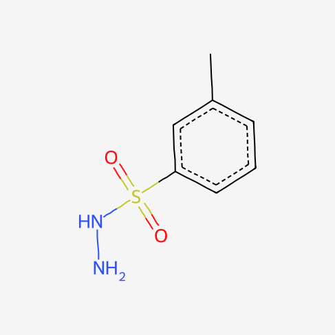 Cc1cccc(S(=O)(=O)NN)c1